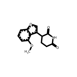 COc1cccc2occ(C3CCC(=O)NC3=O)c12